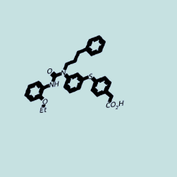 CCOc1ccccc1NC(=O)N(CCCc1ccccc1)c1cccc(Sc2ccc(CC(=O)O)cc2)c1